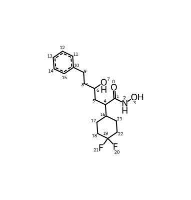 O=C(NO)C(CC(O)[CH]Cc1ccccc1)C1CCC(F)(F)CC1